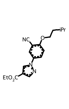 CCOC(=O)c1cnn(-c2ccc(OCCC(C)C)c(C#N)c2)c1